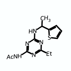 CCc1nc(NC(C)=O)nc(NC(C)c2cccs2)n1